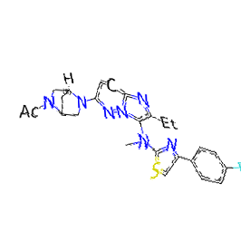 CCc1nc2ccc(N3CC4C[C@H]3CN4C(C)=O)nn2c1N(C)c1nc(-c2ccc(F)cc2)cs1